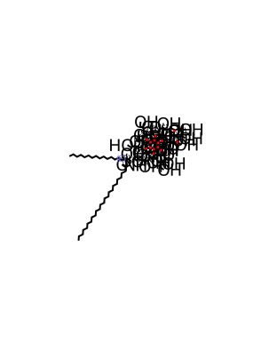 CCCCCCCCCCCCC/C=C/[C@@H](O)[C@H](CO[C@@H]1OC(CO)[C@@H](O[C@@H]2OC(CO)[C@H](O)[C@H](O[C@@H]3OC(CO)[C@@H](O[C@H]4OC(C)[C@@H](O)C(O)[C@@H]4O)[C@H](O[C@@H]4OC(CO)[C@H](O)[C@H](O[C@@H]5OC(CO)[C@@H](O[C@@H]6OC(CO)[C@H](O)[C@H](O)C6O[C@H]6OC(C)[C@@H](O)C(O)[C@@H]6O)[C@H](O)C5NC(C)=O)C4O)C3NC(C)=O)C2O)[C@H](O)C1O)NC(=O)CCCCCCCCCCCCCCCCCCCCCCC